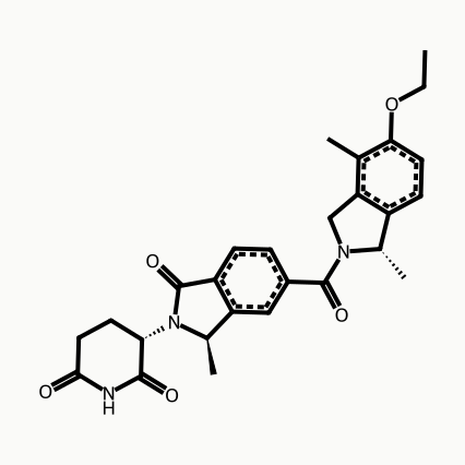 CCOc1ccc2c(c1C)CN(C(=O)c1ccc3c(c1)[C@@H](C)N([C@H]1CCC(=O)NC1=O)C3=O)[C@H]2C